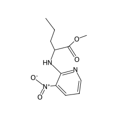 CCCC(Nc1ncccc1[N+](=O)[O-])C(=O)OC